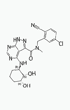 CN(Cc1cc(Cl)ccc1C#N)C(=O)c1n[nH]c2ncnc(N[C@@H]3CCC[C@@H](O)[C@H]3O)c12